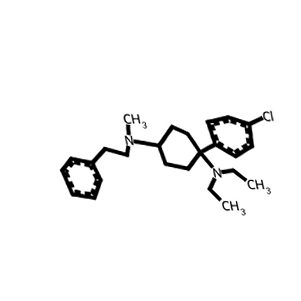 CCN(CC)C1(c2ccc(Cl)cc2)CCC(N(C)CCc2ccccc2)CC1